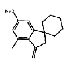 C=C1CC2(CCCCC2)c2cc(OC)cc(C)c21